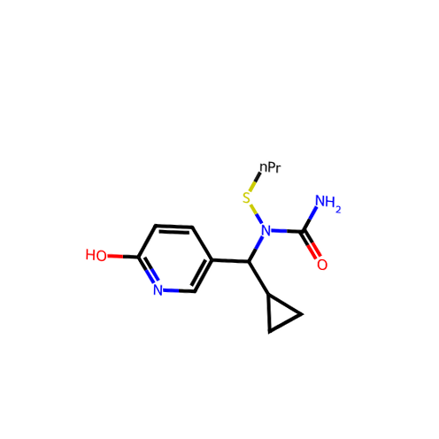 CCCSN(C(N)=O)C(c1ccc(O)nc1)C1CC1